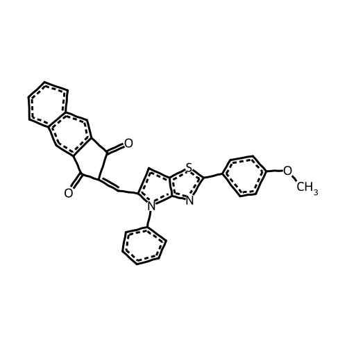 COc1ccc(-c2nc3c(cc(C=C4C(=O)c5cc6ccccc6cc5C4=O)n3-c3ccccc3)s2)cc1